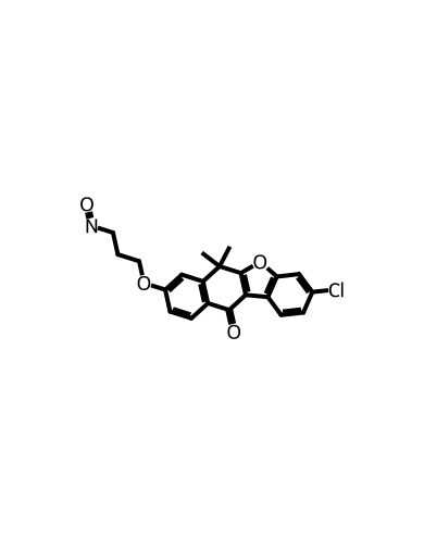 CC1(C)c2cc(OCCCN=O)ccc2C(=O)c2c1oc1cc(Cl)ccc21